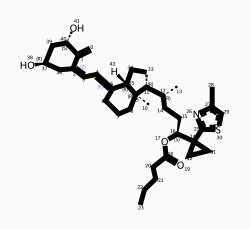 C=C1/C(=C\C=C2/CCC[C@]3(C)[C@@H]([C@H](C)CC[C@H](OC(=O)CCCC)C4(c5nc(C)cs5)CC4)CC[C@@H]23)C[C@@H](O)C[C@@H]1O